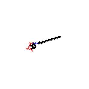 CCCCCCCCCCCCCCCNc1ccc(C(=O)O)c(C(=O)O)c1